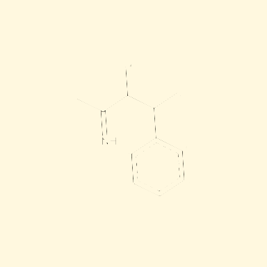 CC(=N)C(C)C(C)c1ccccc1